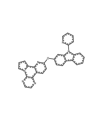 c1ccc(-n2c3ccccc3c3ccc(Oc4ccc5c(n4)c4cccn4c4nccnc54)cc32)nc1